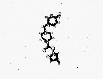 O=C(On1cc(I)cn1)N1CCN(Cc2ccc(F)cc2)CC1